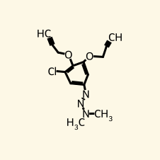 C#CCOc1cc(N=NN(C)C)cc(Cl)c1OCC#C